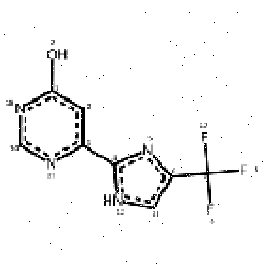 Oc1cc(-c2nc(C(F)(F)F)c[nH]2)ncn1